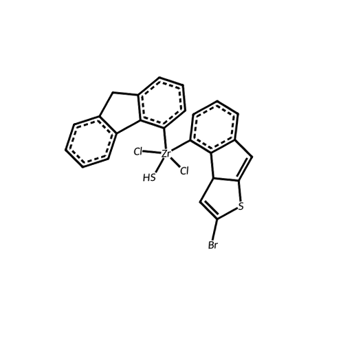 [SH][Zr]([Cl])([Cl])([c]1cccc2c1-c1ccccc1C2)[c]1cccc2c1C1C=C(Br)SC1=C2